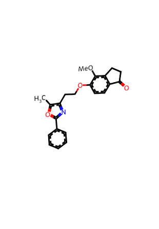 COc1c(OCCc2nc(-c3ccccc3)oc2C)ccc2c1CCC2=O